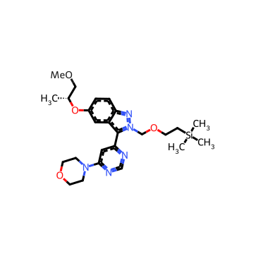 COC[C@@H](C)Oc1ccc2nn(COCC[Si](C)(C)C)c(-c3cc(N4CCOCC4)ncn3)c2c1